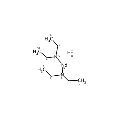 CC[N](CC)[Nd][N](CC)CC.F